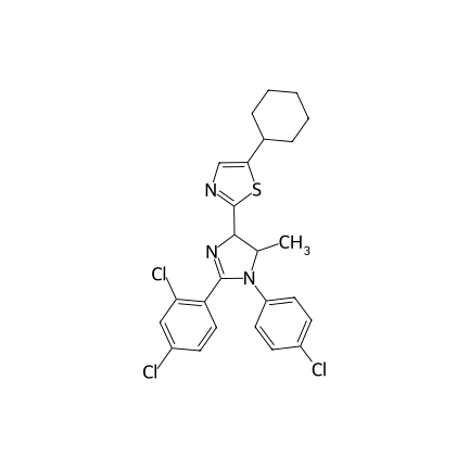 CC1C(c2ncc(C3CCCCC3)s2)N=C(c2ccc(Cl)cc2Cl)N1c1ccc(Cl)cc1